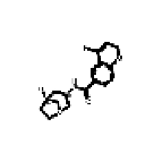 O=C(N[C@@H]1C[C@H]2CCN(C2)C1)c1ccc2c(c1)C(F)=CCO2